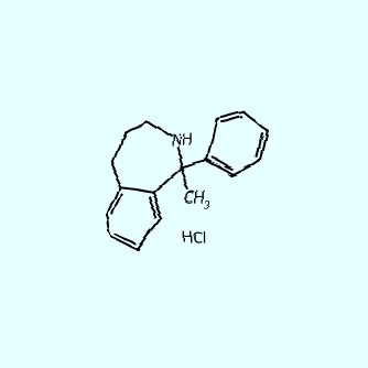 CC1(c2ccccc2)NCCCc2ccccc21.Cl